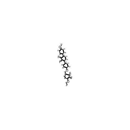 CCOc1ccc(COc2ccc(-c3ccc(-c4ccc(OC)cc4)c(F)c3F)cc2)c(F)c1F